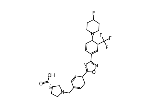 O=C(O)[C@H]1CCN(CC2=CCC(c3nc(C4=CC(C(F)(F)F)C(N5CCC(F)CC5)C=C4)no3)C=C2)C1